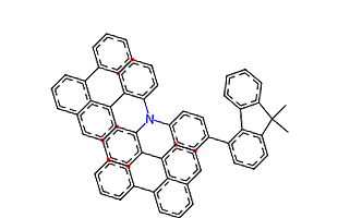 CC1(C)c2ccccc2-c2c(-c3ccc(N(c4ccccc4-c4cccc5cccc(-c6ccccc6)c45)c4ccccc4-c4cccc5cccc(-c6ccccc6)c45)cc3)cccc21